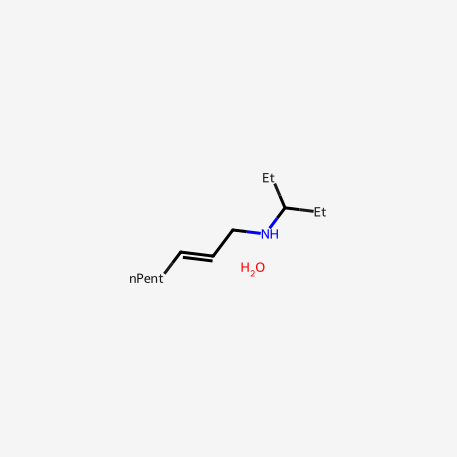 CCCCCC=CCNC(CC)CC.O